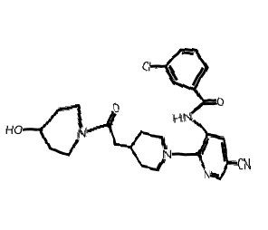 N#Cc1cnc(N2CCC(CC(=O)N3CCC(O)CC3)CC2)c(NC(=O)c2cccc(Cl)c2)c1